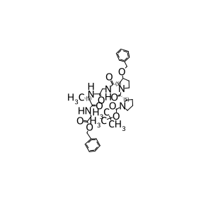 C[C@H](NC(=O)CNC(=O)[C@@H]1C(OCc2ccccc2)CCN1C(=O)[C@@H]1CCCN1C(=O)OC(C)(C)C)C(=O)NCC(=O)OCc1ccccc1